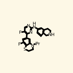 CC(C)N1CCSc2c(F)cc(-c3nc(Nc4ccc5c(c4)CCNC5)ncc3F)cc21